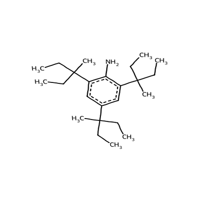 CCC(C)(CC)c1cc(C(C)(CC)CC)c(N)c(C(C)(CC)CC)c1